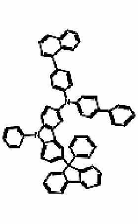 c1ccc(-c2ccc(N(c3ccc(-c4cccc5ccccc45)cc3)c3ccc4c(c3)c3cc(C5(c6ccccc6)c6ccccc6-c6ccccc65)ccc3n4-c3ccccc3)cc2)cc1